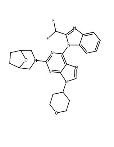 FC(F)c1nc2ccccc2n1-c1nc(N2CC3CCC(C2)O3)nc2c1ncn2C1CCOCC1